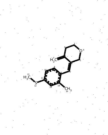 C=C1CCOC/C1=C/c1ccc(SC)cc1C